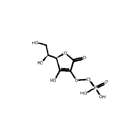 O=C1O[C@H]([C@@H](O)CO)C(O)=C1OOP(=O)(O)O